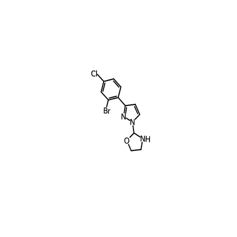 Clc1ccc(-c2ccn(C3NCCO3)n2)c(Br)c1